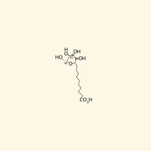 O=C(O)CCCCCCCCCC1O[C@H](CO)[C@@H](O)[C@H](O)[C@H]1O